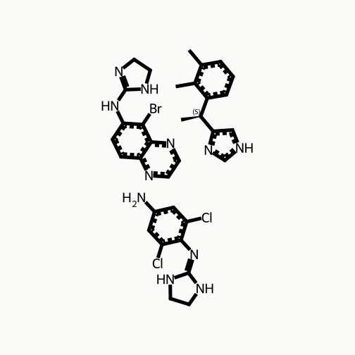 Brc1c(NC2=NCCN2)ccc2nccnc12.Cc1cccc([C@H](C)c2c[nH]cn2)c1C.Nc1cc(Cl)c(N=C2NCCN2)c(Cl)c1